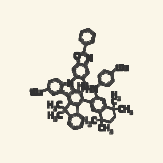 CC(C)(C)c1ccc(Nc2cc3c(cc2-c2c4c(c5c6cc(C(C)(C)C)ccc6n6c5c2Bc2cc5nc(-c7ccccc7)oc5cc2-6)C(C)(C)c2ccccc2-4)C(C)(C)CCC3(C)C)cc1